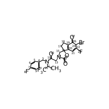 C[C@H](N(Cc1ccc(F)cc1)C(=O)CN1CC2(CCC3=C2C=C(F)C(Br)C3=O)OC1=O)C(F)(F)F